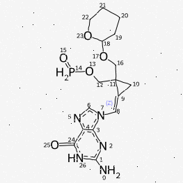 Nc1nc2c(ncn2/C=C2/CC2(CO[PH2]=O)COC2CCCCO2)c(=O)[nH]1